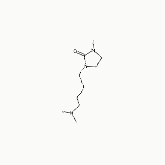 CN(C)CCCCN1CCN(C)C1=O